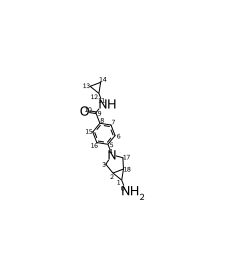 NC1C2CN(c3ccc(C(=O)NC4CC4)cc3)CC12